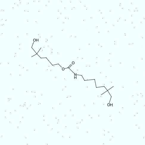 CC(C)(CO)CCCCCNC(=O)OCCCCC(C)(C)CO